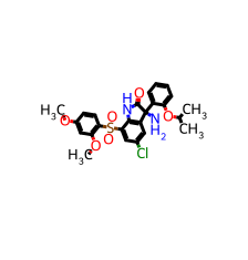 COc1ccc(S(=O)(=O)c2cc(Cl)cc3c2NC(=O)C3(N)c2ccccc2OC(C)C)c(OC)c1